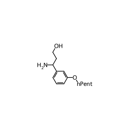 CCCCCOc1cccc(C(N)CCO)c1